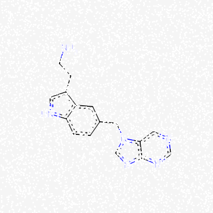 NCCc1c[nH]c2ccc(Cn3cnc4ncncc43)cc12